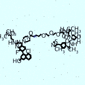 Cc1ncsc1-c1ccc([C@H](C)NC(=O)[C@@H]2C[C@@H](O)CN2C(=O)[C@@H](NC(=O)COCCOCCOCC/C=C/C(=O)N2CCN(c3nc(NCCC(=O)N(C)C)nc4c(F)c(-c5cc(O)cc6ccccc56)c(Cl)cc34)CC2)C(C)(C)C)cc1